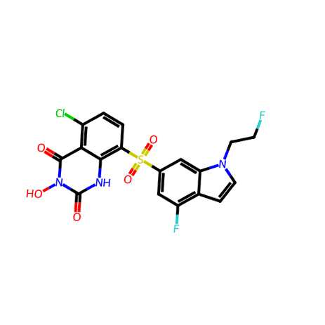 O=c1[nH]c2c(S(=O)(=O)c3cc(F)c4ccn(CCF)c4c3)ccc(Cl)c2c(=O)n1O